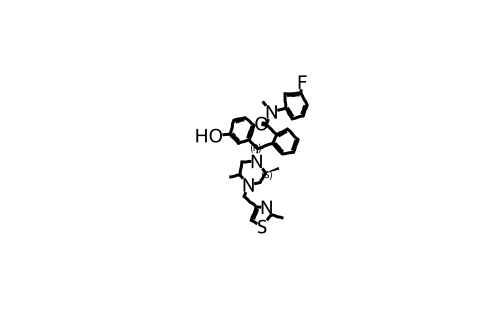 Cc1nc(CN2C[C@H](C)N([C@H](c3cccc(O)c3)c3ccccc3C(=O)N(C)c3cccc(F)c3)CC2C)cs1